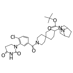 CC(C)(C)OC(=O)N1CC2CCC(C1)N2CC1CCC2(CC1)CCN(C(=O)c1ccc(Cl)c(N3CCC(=O)NC3=O)c1)CC2